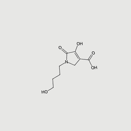 O=C(O)C1=C(O)C(=O)N(CCCCO)C1